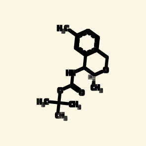 Cc1ccc2c(c1)C(NC(=O)OC(C)(C)C)[C@@H](C)OC2